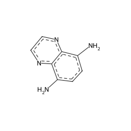 Nc1ccc(N)c2nccnc12